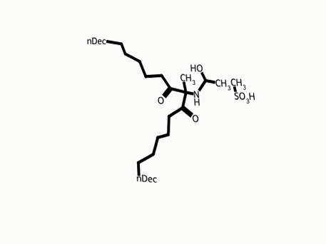 CCCCCCCCCCCCCCCC(=O)C(C)(NC(C)O)C(=O)CCCCCCCCCCCCCCC.CS(=O)(=O)O